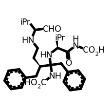 CC(C)C(C=O)NCC[C@H](Cc1ccccc1)C(Cc1ccccc1)(NC(=O)O)N[C@H](C(=O)NC(=O)O)C(C)C